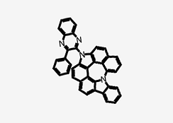 c1ccc(-c2nc3ccccc3nc2-n2c3ccc4cccc5c4c3c3c4c(ccc6c7ccccc7n5c64)ccc32)cc1